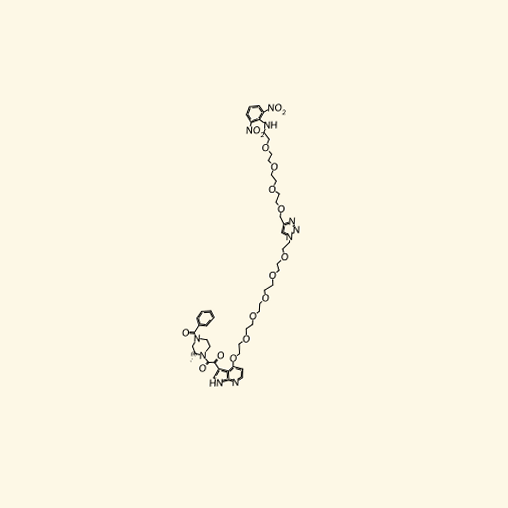 C[C@@H]1CN(C(=O)c2ccccc2)CCN1C(=O)C(=O)c1c[nH]c2nccc(OCCOCCOCCOCCOCCOCCn3cc(COCCOCCOCCOCCNc4c([N+](=O)[O-])cccc4[N+](=O)[O-])nn3)c12